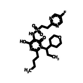 CCCCc1nc(O)c(NS(=O)(=O)CCc2ncc(F)cn2)c(=O)n1C(CC)C1CCOCC1